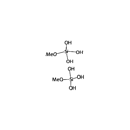 CO[Si](O)(O)O.CO[Si](O)(O)O